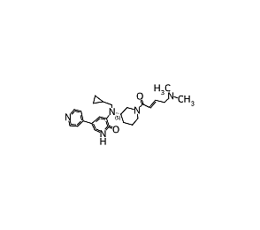 CN(C)CC=CC(=O)N1CCC[C@H](N(CC2CC2)c2cc(-c3ccncc3)c[nH]c2=O)C1